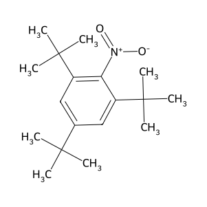 CC(C)(C)c1cc(C(C)(C)C)c([N+](=O)[O-])c(C(C)(C)C)c1